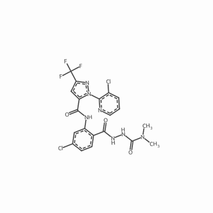 CN(C)C(=O)NNC(=O)c1ccc(Cl)cc1NC(=O)c1cc(C(F)(F)F)nn1-c1ncccc1Cl